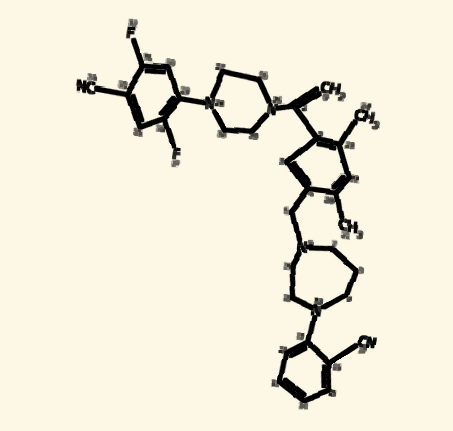 C=C(c1cc(CN2CCCN(c3ccccc3C#N)CC2)c(C)cc1C)N1CCN(c2cc(F)c(C#N)cc2F)CC1